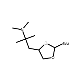 CN(C)C(C)(C)CC1COC(C(C)(C)C)O1